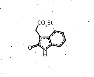 CCOC(=O)Cn1c(=O)[nH]c2ccccc21